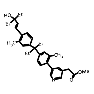 CCC(O)(/C=C/c1ccc(C(CC)(CC)c2ccc(-c3cncc(CC(=O)OC)c3)c(C)c2)cc1C)CC